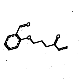 C=CC(=O)CCCOc1ccccc1C=O